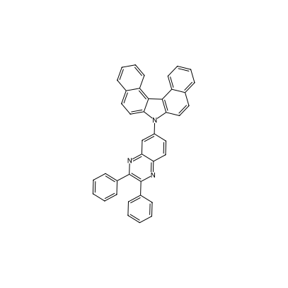 c1ccc(-c2nc3ccc(-n4c5ccc6ccccc6c5c5c6ccccc6ccc54)cc3nc2-c2ccccc2)cc1